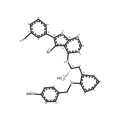 COc1ccc(COc2ccccc2C[C@@H](Oc2ncnc3sc(-c4cccc(F)c4)c(Br)c23)C(=O)O)cc1